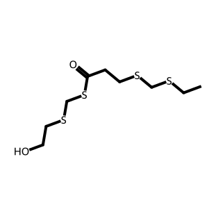 CCSCSCCC(=O)SCSCCO